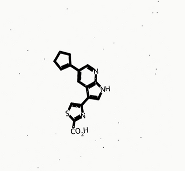 O=C(O)c1nc(-c2c[nH]c3ncc(C4=CCCC4)cc23)cs1